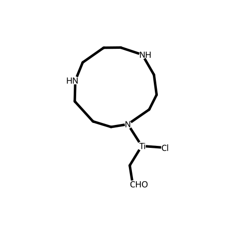 O=C[CH2][Ti]([Cl])[N]1CCCNCCCNCCC1